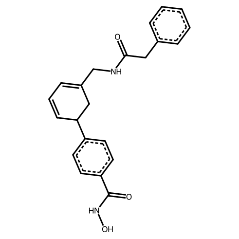 O=C(Cc1ccccc1)NCC1=CC=CC(c2ccc(C(=O)NO)cc2)C1